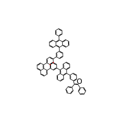 c1ccc(-c2oc3ccc(-c4c5ccccc5c(-c5cccc(-c6cccc7cccc(-c8ccc(-c9cccc(-c%10c%11ccccc%11c(-c%11ccccc%11)c%11ccccc%10%11)c9)cc8)c67)c5)c5ccccc45)cc3c2-c2ccccc2)cc1